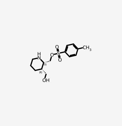 Cc1ccc(S(=O)(=O)OC[C@H]2NCCC[C@H]2CO)cc1